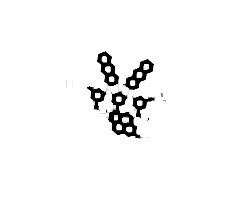 CC(C)(C)c1cc(N2c3cc4cc5ccccc5cc4cc3B3c4cc5cc6ccccc6cc5cc4N(c4cc(C(C)(C)C)cc(C(C)(C)C)c4)c4cc(-c5ccc6ccc7cc(C(C)(C)C)cc8ccc5c6c78)cc2c43)cc(C(C)(C)C)c1